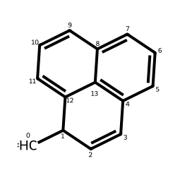 [CH]C1C=Cc2cccc3cccc1c23